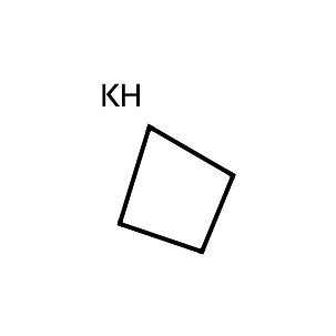 C1CCC1.[KH]